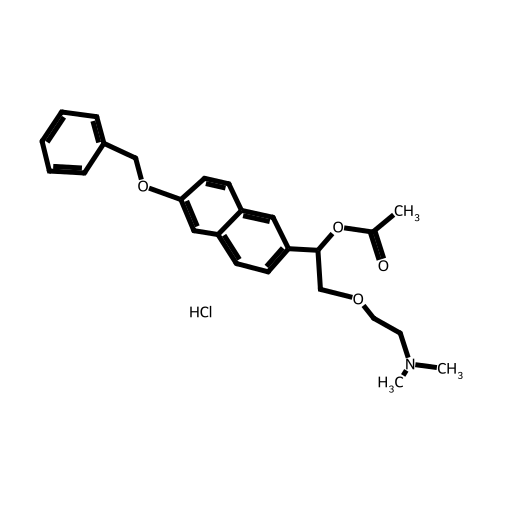 CC(=O)OC(COCCN(C)C)c1ccc2cc(OCc3ccccc3)ccc2c1.Cl